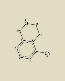 N#Cc1cccc2c1CCOC2